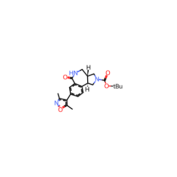 Cc1noc(C)c1-c1ccc2c(c1)C(=O)NC[C@@H]1CN(C(=O)OC(C)(C)C)C[C@@H]21